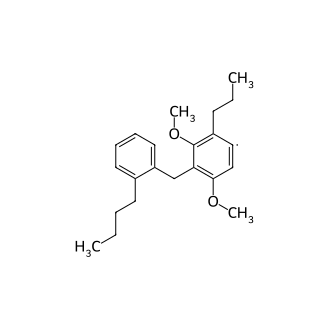 CCCCc1ccccc1Cc1c(OC)c[c]c(CCC)c1OC